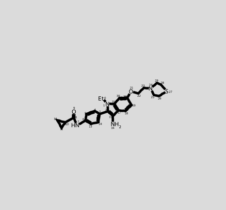 CCn1c(-c2ccc(NC(=O)C3CC3)cc2)c(N)c2ccc(OCCN3CCSCC3)cc21